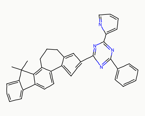 CC1(C)c2ccccc2-c2ccc3c(c21)CCCc1cc(-c2nc(-c4ccccc4)nc(-c4ccccn4)n2)ccc1-3